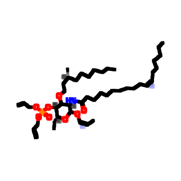 C=CCOP(=O)(OCC=C)O[C@H]1C(OCC[C@H](C)CCCCCCC)[C@@H](NC(=O)CCCCCCCCC/C=C\CCCCCC)C(O/C=C\C)O[C@@H]1CC